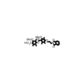 COc1c(C)c(OC(=O)c2c(C)c(C)c(OCCCN3C(=O)c4ccccc4C3=O)c(C)c2OC)c(C)c(C)c1C(=O)O